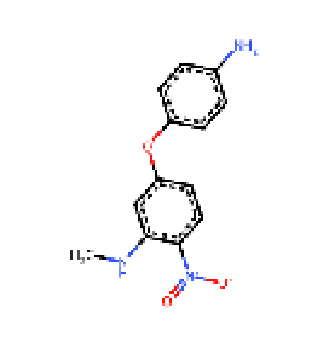 CNc1cc(Oc2ccc(N)cc2)ccc1[N+](=O)[O-]